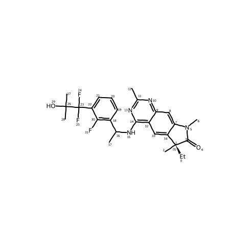 CC[C@]1(C)C(=O)N(C)c2cc3nc(C)nc(NC(C)c4cccc(C(F)(F)C(C)(C)O)c4F)c3cc21